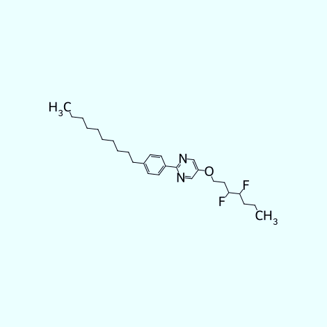 CCCCCCCCCCc1ccc(-c2ncc(OCCC(F)C(F)CCC)cn2)cc1